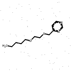 CCCCCOCCSCc1ccncn1